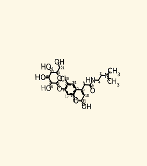 CN(C)CCNC(=O)CC1=CC(O)Oc2cc(O[C@@H]3OC(CO)[C@@H](O)C(O)C3O)c(Cl)cc21